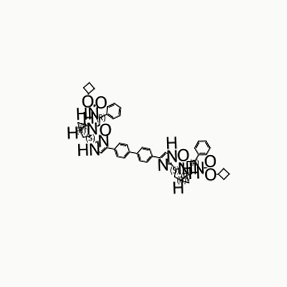 O=C(N[C@@H](C(=O)N1[C@@H]2C[C@@H]2C[C@H]1c1nc(-c2ccc(-c3ccc(-c4c[nH]c([C@@H]5C[C@H]6C[C@H]6N5C(=O)[C@H](NC(=O)OC5CCC5)c5ccccc5)n4)cc3)cc2)c[nH]1)c1ccccc1)OC1CCC1